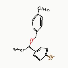 CCCCCC(OCc1ccc(OC)cc1)c1ccc(Br)cc1